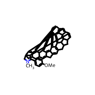 COc1ccc(C2C3C4=CC5CC6Cc7cc8c9c%10c%11c%12c%13c%14c%15c(c%16c4c4c(c%17c(c7c9c%12%17)C6C=45)c%16%13)C3(CC%15CC(C=C%10C8)C%14%11)CN2C)cc1